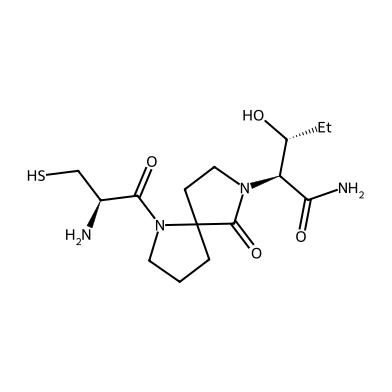 CC[C@@H](O)[C@@H](C(N)=O)N1CCC2(CCCN2C(=O)[C@@H](N)CS)C1=O